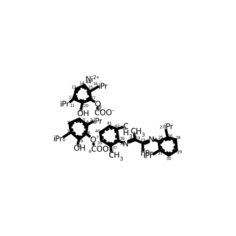 CC(C)c1ccc(C(C)C)c(OC(=O)[O-])c1O.CC(C)c1ccc(C(C)C)c(OC(=O)[O-])c1O.CCCC(=Nc1c(C(C)C)cccc1C(C)C)C(C)=Nc1c(C)cccc1C.[Ni+2]